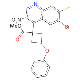 COC(=O)C1(c2c([N+](=O)[O-])cnc3cc(F)c(Br)cc23)CC(Oc2ccccc2)C1